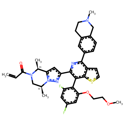 C=CC(=O)N1C[C@H](C)n2nc(-c3nc(-c4ccc5c(c4)CCN(C)C5)c4ccsc4c3-c3c(F)cc(F)cc3OCCOC)cc2[C@@H]1C